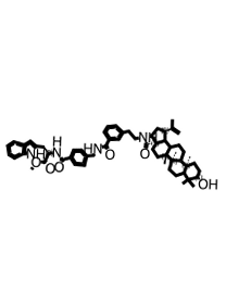 C=C(C)[C@@H]1CC[C@]2(C(=O)NCCc3cccc(C(=O)NCc4ccc(C(=O)N[C@H](Cc5cc6ccccc6[nH]5)C(=O)OC)cc4)c3)CC[C@]3(C)C(CCC4[C@@]5(C)CC[C@H](O)C(C)(C)C5CC[C@]43C)C12